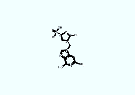 Nc1nc(O)c2ncn(C[C@H]3C[C@@H](P(=O)(O)O)O[C@H]3O)c2n1